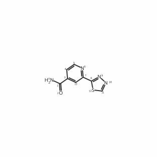 NC(=O)c1ccnc(-c2nncs2)c1